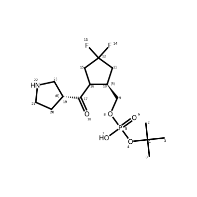 CC(C)(C)OP(=O)(O)OC[C@@H]1CC(F)(F)CC1C(=O)[C@@H]1CCNC1